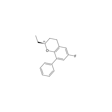 CC[C@H]1CCc2cc(F)cc(-c3ccccc3)c2O1